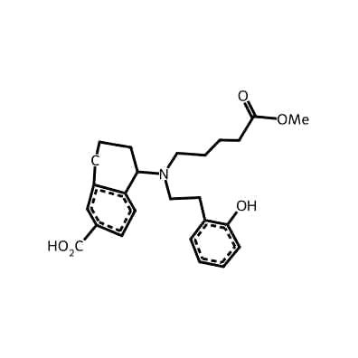 COC(=O)CCCCN(CCc1ccccc1O)C1CCCc2cc(C(=O)O)ccc21